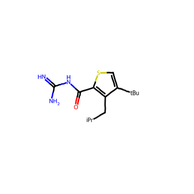 CC(C)Cc1c(C(C)(C)C)csc1C(=O)NC(=N)N